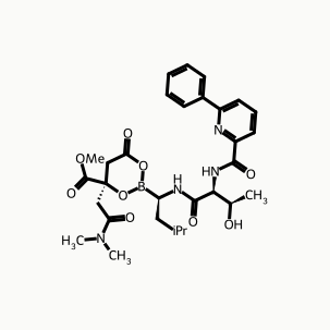 COC(=O)[C@@]1(CC(=O)N(C)C)CC(=O)OB([C@H](CC(C)C)NC(=O)[C@@H](NC(=O)c2cccc(-c3ccccc3)n2)[C@@H](C)O)O1